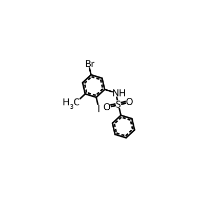 Cc1cc(Br)cc(NS(=O)(=O)c2ccccc2)c1I